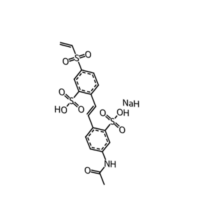 C=CS(=O)(=O)c1ccc(C=Cc2ccc(NC(C)=O)cc2S(=O)(=O)O)c(S(=O)(=O)O)c1.[NaH]